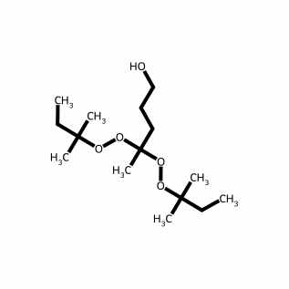 CCC(C)(C)OOC(C)(CCCO)OOC(C)(C)CC